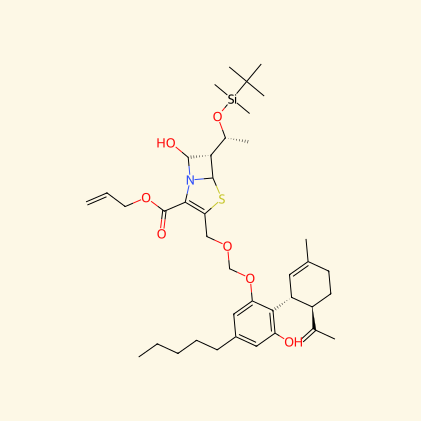 C=CCOC(=O)C1=C(COCOc2cc(CCCCC)cc(O)c2[C@@H]2C=C(C)CC[C@H]2C(=C)C)SC2[C@@H]([C@@H](C)O[Si](C)(C)C(C)(C)C)C(O)N12